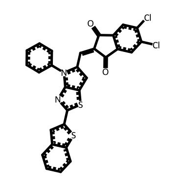 O=C1C(=Cc2cc3sc(-c4cc5ccccc5s4)nc3n2-c2ccccc2)C(=O)c2cc(Cl)c(Cl)cc21